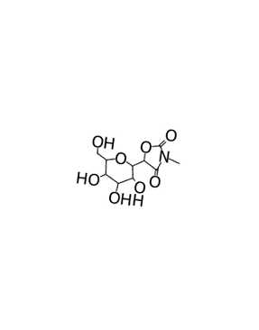 CN1C(=O)OC(C2OC(CO)C(O)C(O)C2O)C1=O